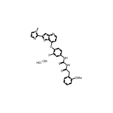 COc1ccccc1CC(=O)NC(=S)Nc1ccc(Oc2ccnc3cc(-c4nccn4C)sc23)c(F)c1.Cl.Cl